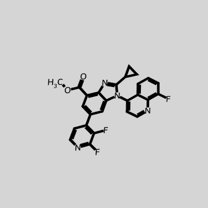 COC(=O)c1cc(-c2ccnc(F)c2F)cc2c1nc(C1CC1)n2-c1ccnc2c(F)cccc12